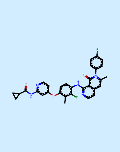 Cc1c(Oc2ccnc(NC(=O)C3CC3)c2)ccc(Nc2nccc3cc(C)n(-c4ccc(F)cc4)c(=O)c23)c1F